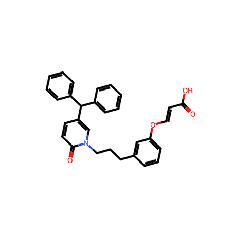 O=C(O)/C=C/Oc1cccc(CCCn2cc(C(c3ccccc3)c3ccccc3)ccc2=O)c1